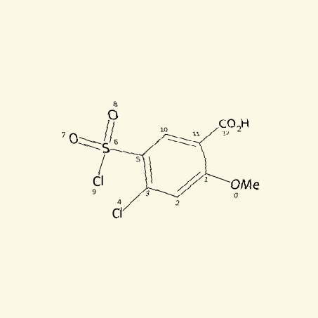 COc1cc(Cl)c(S(=O)(=O)Cl)cc1C(=O)O